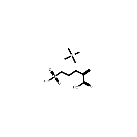 C=C(CCCS(=O)(=O)O)C(=O)O.C[N+](C)(C)C